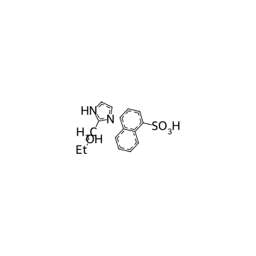 CCO.Cc1ncc[nH]1.O=S(=O)(O)c1cccc2ccccc12